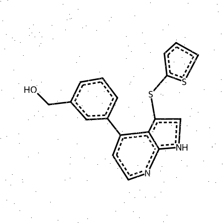 OCc1cccc(-c2ccnc3[nH]cc(Sc4cccs4)c23)c1